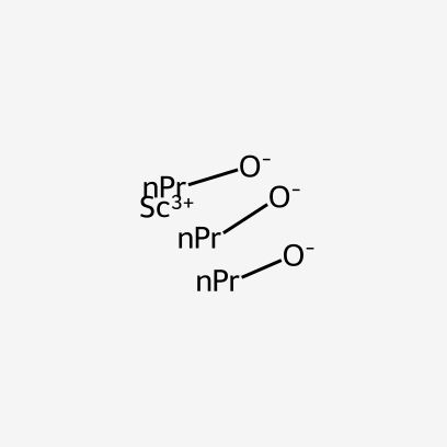 CCC[O-].CCC[O-].CCC[O-].[Sc+3]